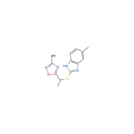 CCCc1noc(C(C)Sc2nc3cc(C)ccc3[nH]2)n1